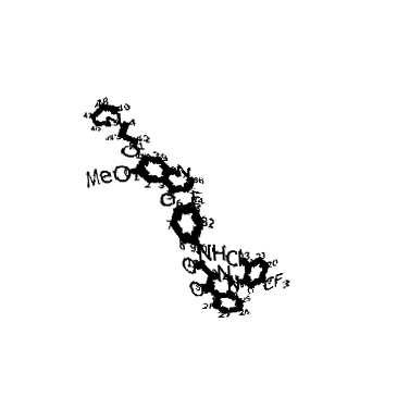 COc1cc2c(Oc3ccc(NC(=O)c4nn(-c5cc(C(F)(F)F)ccc5Cl)c5ccccc5c4=O)cc3F)ccnc2cc1OCCCN1CCCC1